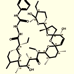 CC[C@H]1CC[C@H]([C@]2(C)CC[C@@]3(O[C@]4(C=C[C@H]3O)O[C@H]([C@@H](CC)C(=O)[C@@H](C)[C@@H](O)[C@H](C)[C@@H]3O[C@@H]([C@@H](CC)C(=O)NNC(=O)Nc5ccccc5)CCC3C)[C@@H](C)C[C@H]4C)O2)O[C@@]1(C)O